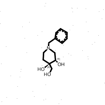 OC[C@]1(O)CCN(Cc2ccccc2)C[C@H]1O